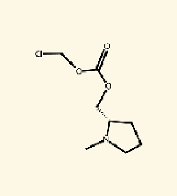 CN1CCC[C@H]1COC(=O)OCCl